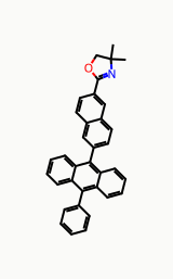 CC1(C)COC(c2ccc3cc(-c4c5ccccc5c(-c5ccccc5)c5ccccc45)ccc3c2)=N1